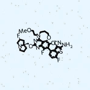 COCCN1CCCOc2c(Cl)c(-c3ccc(F)c4sc(N)c(C#N)c34)c(F)c3nc(OC[C@@]45CCCN4C[C@H](F)C5)nc1c23